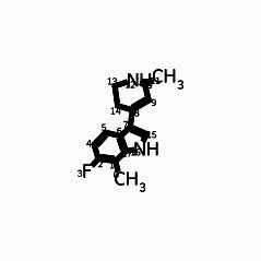 Cc1c(F)ccc2c(C3=CC(C)NCC3)c[nH]c12